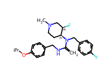 C=C(NCc1ccc(OC(C)C)cc1)N(Cc1ccc(F)cc1)[C@H]1CCN(C)C[C@H]1F